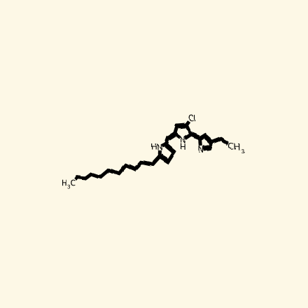 CCCCCCCCCCCc1ccc(C=c2cc(Cl)c(=C3C=C(CC)C=N3)[nH]2)[nH]1